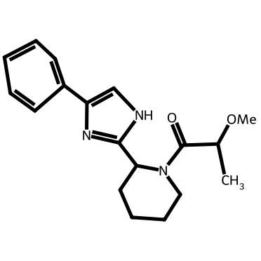 COC(C)C(=O)N1CCCCC1c1nc(-c2ccccc2)c[nH]1